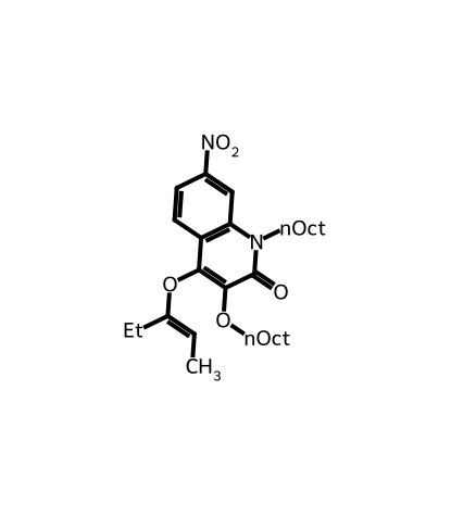 CC=C(CC)Oc1c(OCCCCCCCC)c(=O)n(CCCCCCCC)c2cc([N+](=O)[O-])ccc12